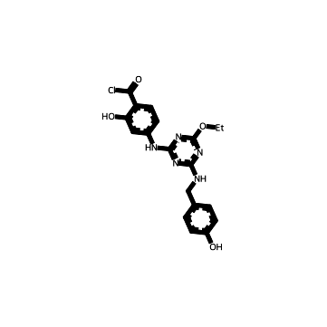 CCOc1nc(NCc2ccc(O)cc2)nc(Nc2ccc(C(=O)Cl)c(O)c2)n1